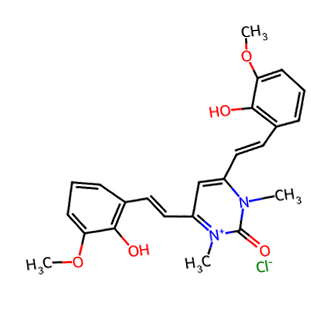 COc1cccc(C=Cc2cc(C=Cc3cccc(OC)c3O)[n+](C)c(=O)n2C)c1O.[Cl-]